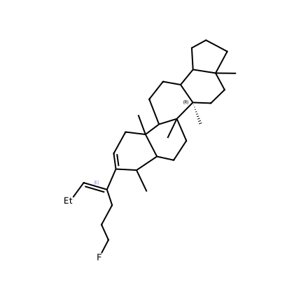 CC/C=C(\CCCF)C1=CCC2(C)C(CCC3(C)C2CCC2C4CCCC4(C)CC[C@]23C)C1C